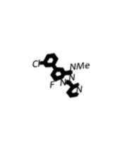 CNc1nc(-c2cccnc2)nc2c(F)cc(-c3cccc(Cl)c3)cc12